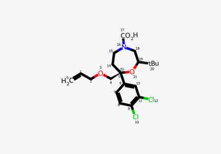 C=CCOC[C@@]1(c2ccc(Cl)c(Cl)c2)CCN(C(=O)O)CC(C(C)(C)C)O1